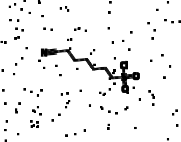 N#CCCCCCCS(=O)(=O)Cl